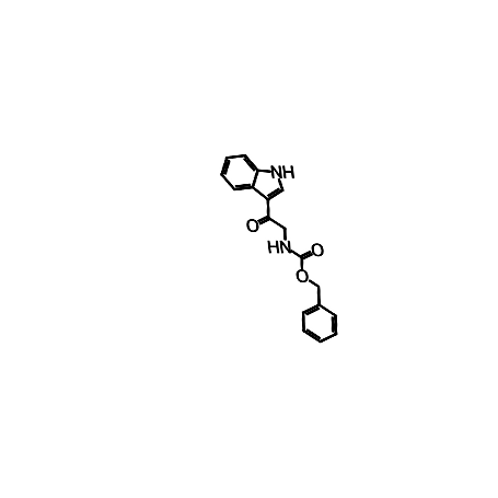 O=C(NCC(=O)c1c[nH]c2ccccc12)OCc1ccccc1